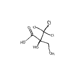 O=C(O)C(O)(CO)C(Cl)(Cl)Cl